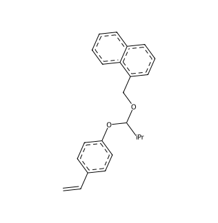 C=Cc1ccc(OC(OCc2cccc3ccccc23)C(C)C)cc1